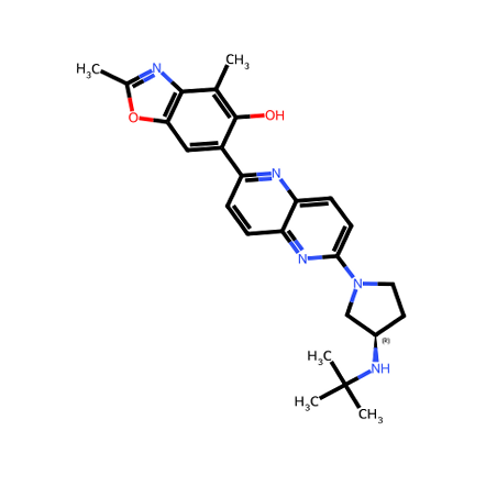 Cc1nc2c(C)c(O)c(-c3ccc4nc(N5CC[C@@H](NC(C)(C)C)C5)ccc4n3)cc2o1